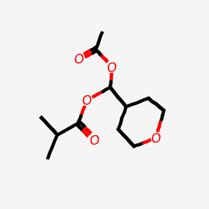 CC(=O)OC(OC(=O)C(C)C)C1CCOCC1